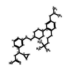 CN(C)Cc1ccc(CCCC(C)(C)C)c(N2CCC(COc3cccc(C(CC(=O)O)C4CC4)c3)CC2)c1